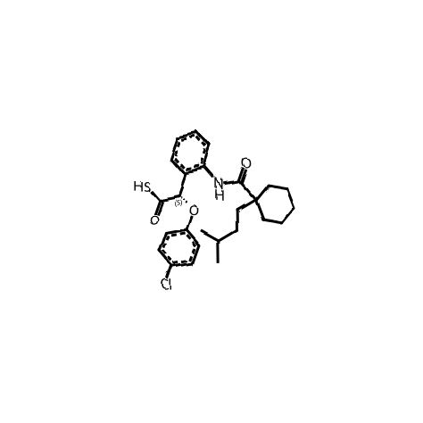 CC(C)CCC1(C(=O)Nc2ccccc2[C@H](Oc2ccc(Cl)cc2)C(=O)S)CCCCC1